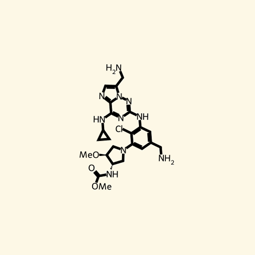 COC(=O)N[C@H]1CN(c2cc(CN)cc(Nc3nc(NC4CC4)c4ncc(CN)n4n3)c2Cl)C[C@@H]1OC